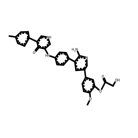 COc1ccc(-c2cnc(N)c(-c3ccc(Nc4c[nH]cc(-c5ccc(C)cc5)c4=O)cc3)c2)cc1OC(=O)CO